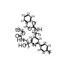 CC(C)(C)OC(=O)NCC(C)(O)c1cc(C(C)(C)NC(=O)OCc2ccccc2)cc(-c2ccc(F)cc2)n1